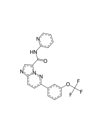 O=C(Nc1ccccn1)c1cnc2ccc(-c3cccc(OC(F)(F)F)c3)nn12